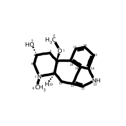 CO[C@]12C[C@@H](O)CN(C)[C@@H]1Cc1c[nH]c3cccc2c13